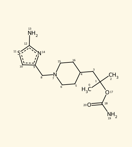 CC(C)(CC1CCN(Cc2csc(N)n2)CC1)OC(N)=O